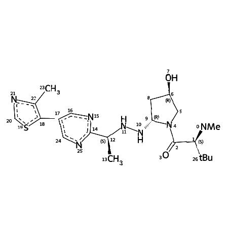 CN[C@H](C(=O)N1C[C@H](O)C[C@H]1NN[C@@H](C)c1ncc(-c2scnc2C)cn1)C(C)(C)C